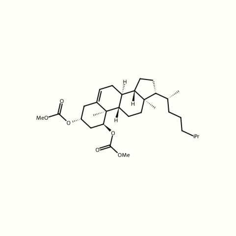 COC(=O)O[C@@H]1CC2=CC[C@H]3[C@@H]4CC[C@H]([C@H](C)CCCC(C)C)[C@@]4(C)CC[C@@H]3[C@@]2(C)[C@@H](OC(=O)OC)C1